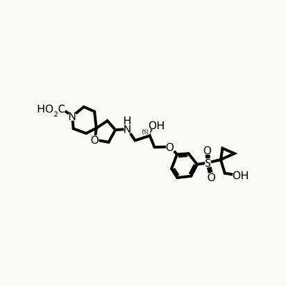 O=C(O)N1CCC2(CC1)CC(NC[C@H](O)COc1cccc(S(=O)(=O)C3(CO)CC3)c1)CO2